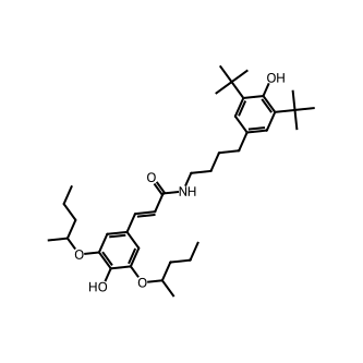 CCCC(C)Oc1cc(/C=C/C(=O)NCCCCc2cc(C(C)(C)C)c(O)c(C(C)(C)C)c2)cc(OC(C)CCC)c1O